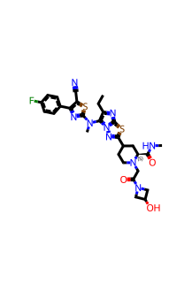 CCc1nc2sc(C3CCN(CC(=O)N4CC(O)C4)[C@H](C(=O)NC)C3)nn2c1N(C)c1nc(-c2ccc(F)cc2)c(C#N)s1